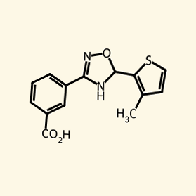 Cc1ccsc1C1NC(c2cccc(C(=O)O)c2)=NO1